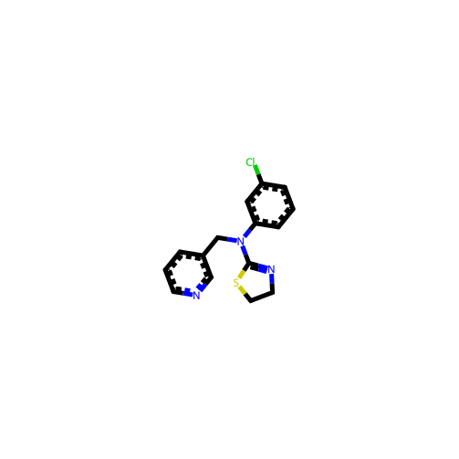 Clc1cccc(N(Cc2cccnc2)C2=NCCS2)c1